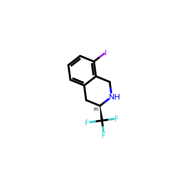 FC(F)(F)[C@H]1Cc2cccc(I)c2CN1